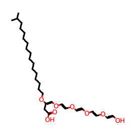 CC(C)CCCCCCCCCCCCCCCOC(=COC=COC=COC=COC=CO)CC(=O)O